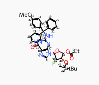 CCC(=O)O[C@H]1O[C@@H](n2cnc3c(=O)[nH]c(NC(c4ccccc4)(c4ccccc4)c4ccc(OC)cc4)nc32)[C@@H](F)[C@@H]1O[Si](C)(C)C(C)(C)C